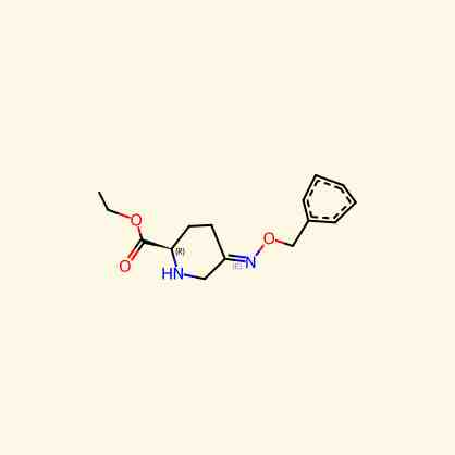 CCOC(=O)[C@H]1CC/C(=N\OCc2ccccc2)CN1